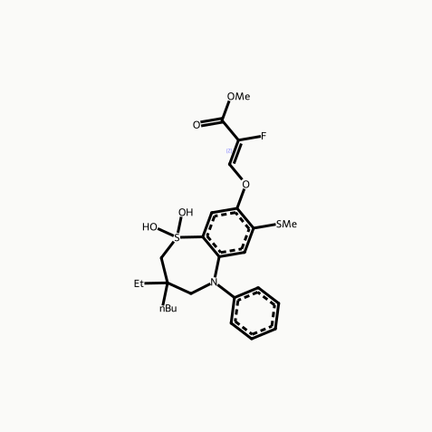 CCCCC1(CC)CN(c2ccccc2)c2cc(SC)c(O/C=C(\F)C(=O)OC)cc2S(O)(O)C1